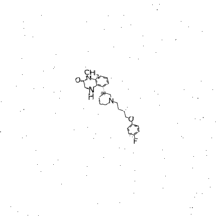 CN1C(=O)CNc2c([C@H]3CCCN(CCCCOc4ccc(F)cc4)C3)cccc21